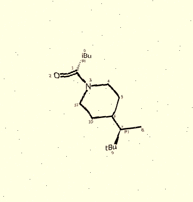 CC[C@@H](C)C(=O)N1CCC([C@@H](C)C(C)(C)C)CC1